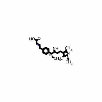 CC[C@H](C(=N)CCc1c(C)nn(CC)c1C)c1ccc(C/C=C/C(=O)O)cc1